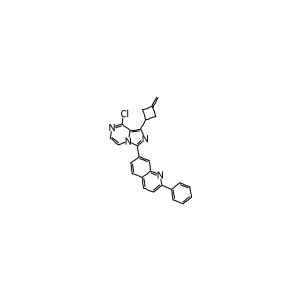 C=C1CC(c2nc(-c3ccc4ccc(-c5ccccc5)nc4c3)n3ccnc(Cl)c23)C1